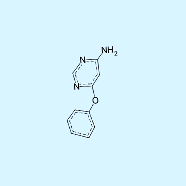 Nc1cc(Oc2ccccc2)ncn1